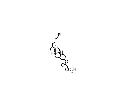 CC(C)CCC[C@@H](C)C1CC[C@H]2[C@@H]3CC=C4C[C@@H](OC(=O)CC(=O)O)CC[C@]4(C)[C@H]3CC[C@]12C